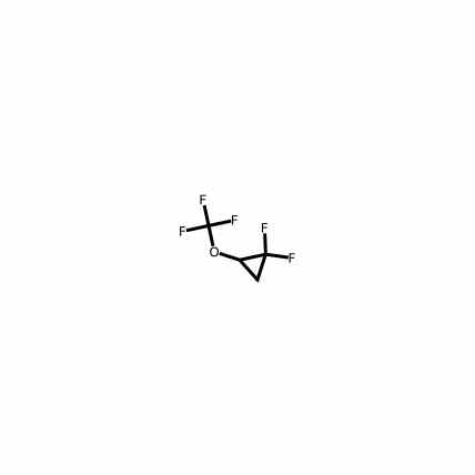 FC(F)(F)OC1CC1(F)F